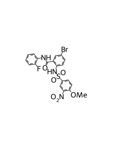 COc1ccc(S(=O)(=O)Nc2ccc(Br)cc2C(=O)Nc2ccccc2F)cc1[N+](=O)[O-]